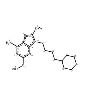 CCCCOc1nc(N)c2nc(OC)n(CCCCN3CCCCC3)c2n1